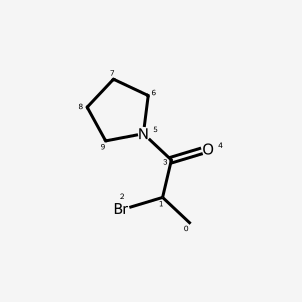 CC(Br)C(=O)N1CCCC1